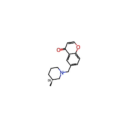 C[C@H]1CCCN(Cc2ccc3occc(=O)c3c2)C1